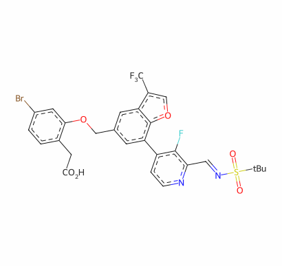 CC(C)(C)S(=O)(=O)N=Cc1nccc(-c2cc(COc3cc(Br)ccc3CC(=O)O)cc3c(C(F)(F)F)coc23)c1F